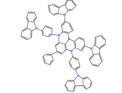 c1ccc(-c2cc3c4c(c2)N(c2ccc(-n5c6ccccc6c6ccccc65)cc2)c2cc(-n5c6ccccc6c6ccccc65)ccc2B4c2ccc(-n4c5ccccc5c5ccccc54)cc2N3c2ccc(-n3c4ccccc4c4ccccc43)cc2)cc1